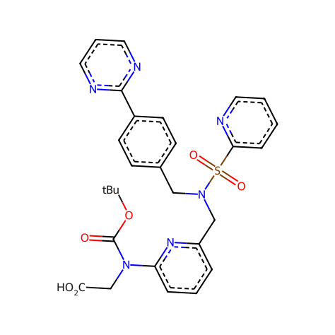 CC(C)(C)OC(=O)N(CC(=O)O)c1cccc(CN(Cc2ccc(-c3ncccn3)cc2)S(=O)(=O)c2ccccn2)n1